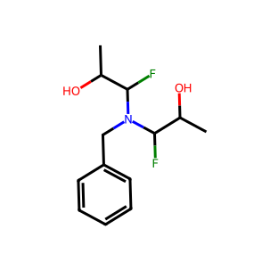 CC(O)C(F)N(Cc1ccccc1)C(F)C(C)O